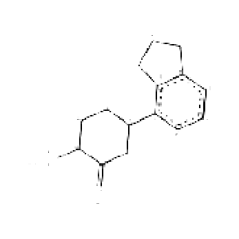 CCOC(=O)C1CCC(c2cccc3c2CCC3)CC1=O